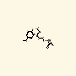 CCc1ccc2c(c1)C(CCCNC(C)=O)CCC2